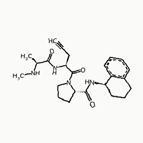 C#CC[C@H](NC(=O)[C@H](C)NC)C(=O)N1CCC[C@H]1C(=O)N[C@@H]1CCCc2ccccc21